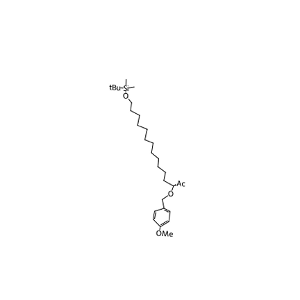 COc1ccc(CO[C@@H](CCCCCCCCCCCCO[Si](C)(C)C(C)(C)C)C(C)=O)cc1